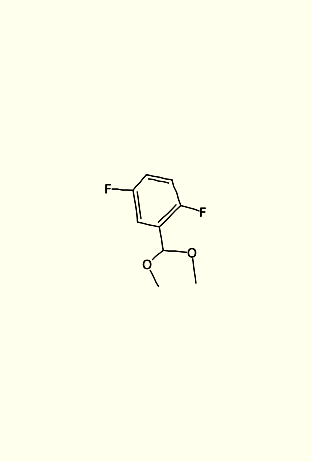 COC(OC)c1cc(F)ccc1F